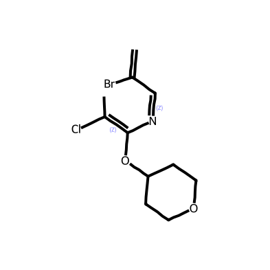 C=C(Br)/C=N\C(OC1CCOCC1)=C(/C)Cl